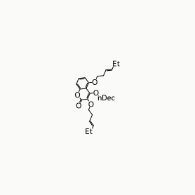 CCC=CCCOc1c(OCCCCCCCCCC)c2c(OCCC=CCC)cccc2oc1=O